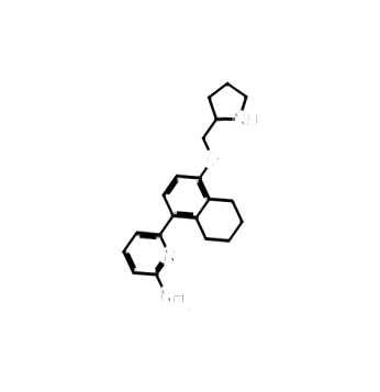 Nc1cccc(-c2ccc(OCC3CCCN3)c3c2CCCC3)n1